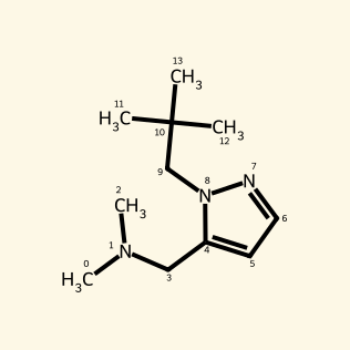 CN(C)Cc1ccnn1CC(C)(C)C